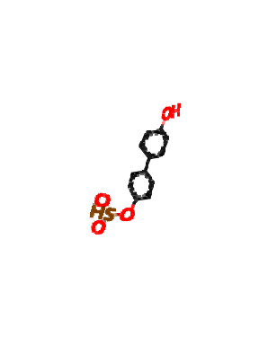 O=[SH](=O)Oc1ccc(-c2ccc(O)cc2)cc1